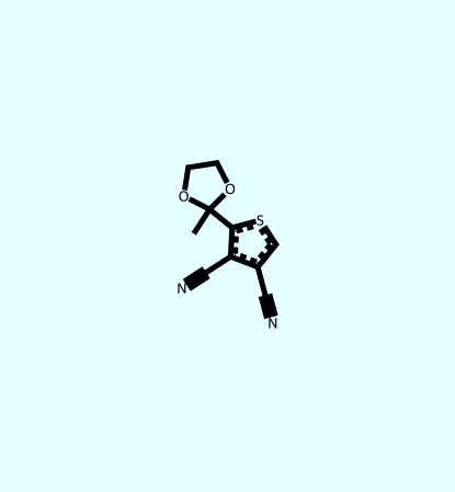 CC1(c2scc(C#N)c2C#N)OCCO1